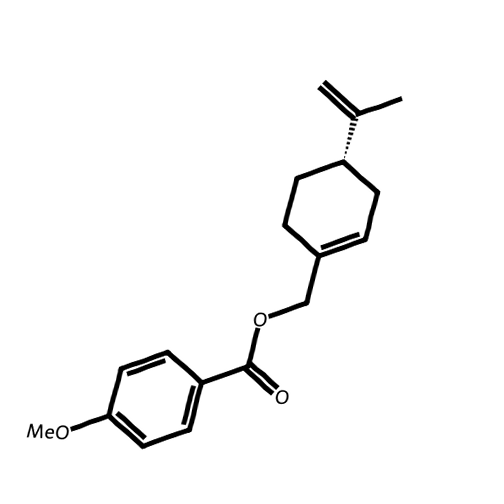 C=C(C)[C@@H]1CC=C(COC(=O)c2ccc(OC)cc2)CC1